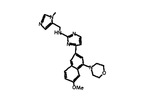 COc1ccc2cc(-c3ccnc(NCc4cncn4C)n3)cc(N3CCOCC3)c2c1